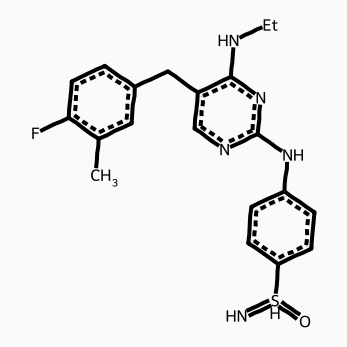 CCNc1nc(Nc2ccc([SH](=N)=O)cc2)ncc1Cc1ccc(F)c(C)c1